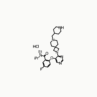 CCN(C(=O)c1cc(F)ccc1Oc1cncnc1N1CC2(CCN(CC3CCNCC3)CC2)C1)C(C)C.Cl